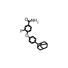 NC(=O)c1ccc(Oc2ccc(C3C4CC5CC(C4)CC3C5)cc2)c(F)c1